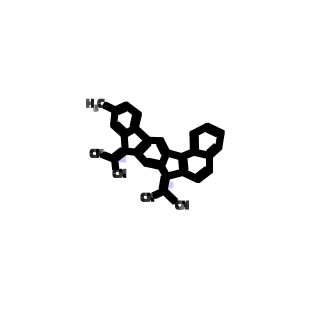 [C-]#[N+]/C(C#N)=C1\c2cc(C)ccc2-c2cc3c(cc21)/C(=C(/C#N)[N+]#[C-])c1ccc2ccccc2c1-3